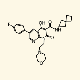 O=C(NC1CC2(CCC2)C1)c1c(O)c2cc(-c3ccc(F)cc3)cnc2n(CCN2CCOCC2)c1=O